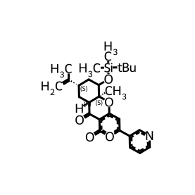 C=C(C)[C@@H]1CC(O[Si](C)(C)C(C)(C)C)[C@@]2(C)Oc3cc(-c4cccnc4)oc(=O)c3C(=O)[C@@H]2C1